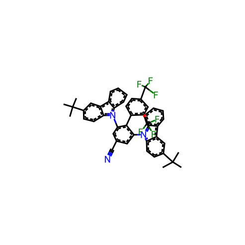 CC(C)(C)c1ccc2c(c1)c1ccccc1n2-c1cc(C#N)cc(-n2c3ccccc3c3cc(C(C)(C)C)ccc32)c1-c1ccc(C(F)(F)F)cc1C(F)(F)F